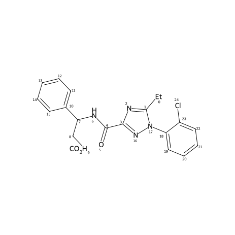 CCc1nc(C(=O)NC(CC(=O)O)c2ccccc2)nn1-c1ccccc1Cl